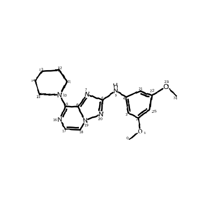 COc1cc(Nc2nc3c(N4CCCCC4)nccn3n2)cc(OC)c1